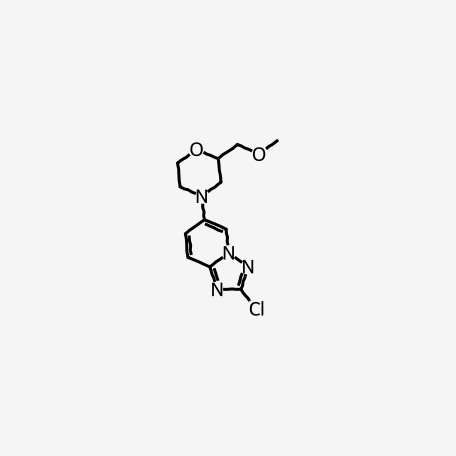 COCC1CN(c2ccc3nc(Cl)nn3c2)CCO1